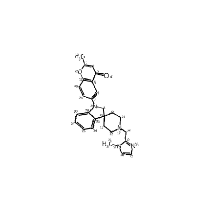 Cc1cc(=O)c2cc(N3CC4(CCN(Cc5nccn5C)CC4)c4ccccc43)ccc2o1